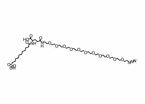 [N-]=[N+]=NCCOCCOCCOCCOCCOCCOCCOCCOCCOCCOCCOCCNC(=O)CCC(NC(=O)CCCCCCCCCCS(=O)(=O)O)C(=O)O